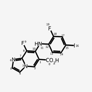 O=C(O)c1cn2ccnc2c(F)c1Nc1ccc(I)cc1F